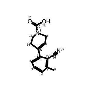 Cc1cccc(C2=CCN(C(=O)O)CC2)c1C#N